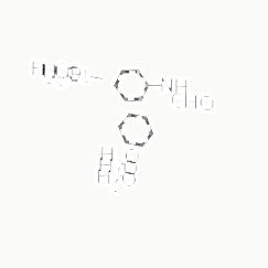 CCC.O.O.O.O.O.O=CNc1ccccc1.c1ccccc1